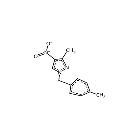 Cc1ccc(Cn2cc([N+](=O)[O-])c(C)n2)cc1